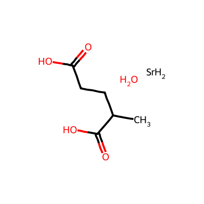 CC(CCC(=O)O)C(=O)O.O.[SrH2]